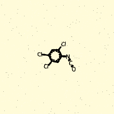 O=C=Nc1cc(Cl)c(Cl)cc1Cl